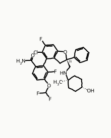 C[C@]1(NC[C@@]2(c3ccccc3)Cc3c(cc(F)c(Cl)c3-c3c(C(N)=O)ccc(OC(F)F)c3F)O2)CC[C@H](O)CC1